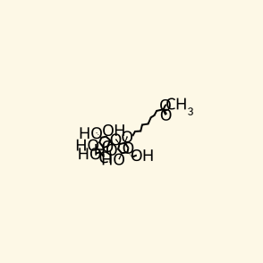 COC(=O)CCCCCCCCO[C@H]1O[C@H](CO)[C@@H](O)[C@H](O)[C@H]1O[C@@H]1O[C@H](C(O)Cl)[C@@H](O)[C@H](O)[C@H]1O